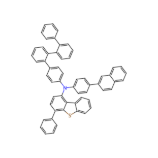 c1ccc(-c2ccccc2-c2ccccc2-c2ccc(N(c3ccc(-c4ccc5ccccc5c4)cc3)c3ccc(-c4ccccc4)c4sc5ccccc5c34)cc2)cc1